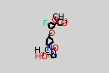 COC1(c2cc(F)cc(OCc3ccc(N(C)C(=O)N4CCC[C@H]4CO)cc3)c2)CCOCC1